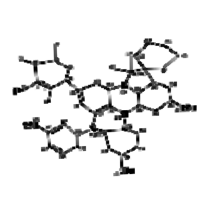 CC1=C(C(C)C)C(C)C(C)CC1C1=CC2=C3B(C4CCC(C(C)(C)C)CC4N2C2C=C(C(C)(C)C)C=CC2)C2CC(C(C)(C)C)CC4C2N(C3C1)C(C)(C)C41CCCCC1